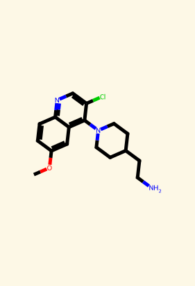 COc1ccc2ncc(Cl)c(N3CCC(CCN)CC3)c2c1